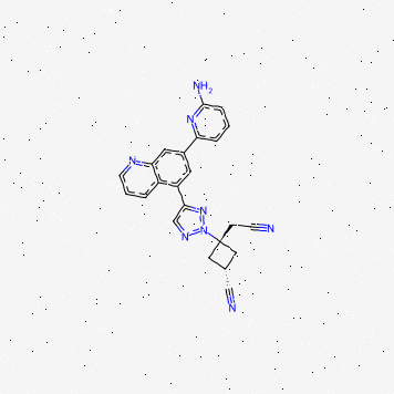 N#CC[C@]1(n2ncc(-c3cc(-c4cccc(N)n4)cc4ncccc34)n2)C[C@@H](C#N)C1